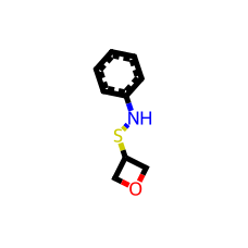 c1ccc(NSC2COC2)cc1